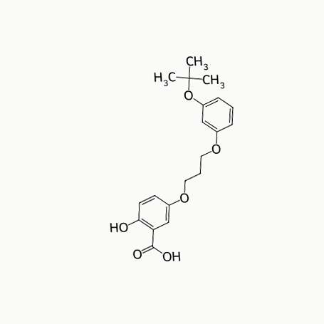 CC(C)(C)Oc1cccc(OCCCOc2ccc(O)c(C(=O)O)c2)c1